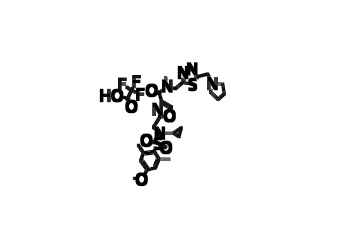 COc1cc(C)c(S(=O)(=O)N(Cc2nc(C(=O)N(C)Cc3nnc(CN4CCCC4)s3)co2)C2CC2)c(C)c1.O=C(O)C(F)(F)F